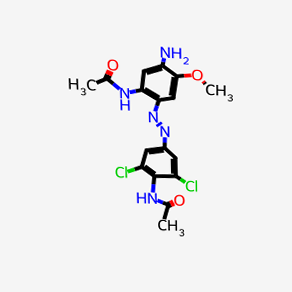 COc1cc(/N=N/c2cc(Cl)c(NC(C)=O)c(Cl)c2)c(NC(C)=O)cc1N